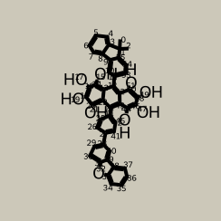 CC1(C)c2ccccc2-c2cc(-c3c4c(O)c(O)c(O)c(O)c4c(-c4ccc(-c5ccc6oc7ccccc7c6c5)cc4)c4c(O)c(O)c(O)c(O)c34)ccc21